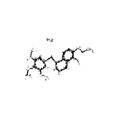 CCOc1ccc2c(Cc3cc(OC)c(OC)c(OC)c3)cncc2c1Cl.Cl